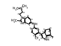 Cc1nc2cc(Nc3ncc(C(F)(F)F)c(-c4c[nH]c5c(F)cccc45)n3)ccc2n1CCN(C)C